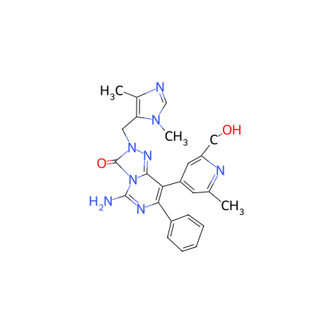 Cc1cc(-c2c(-c3ccccc3)nc(N)n3c(=O)n(Cc4c(C)ncn4C)nc23)cc(CO)n1